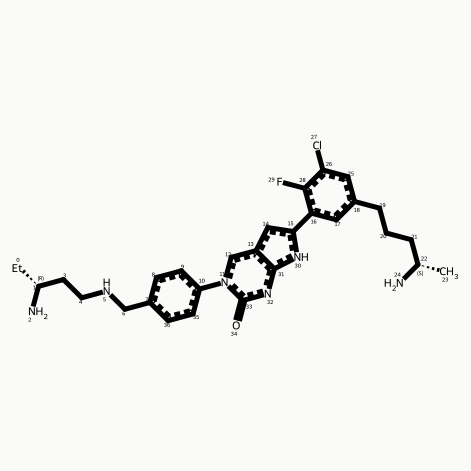 CC[C@@H](N)CCNCc1ccc(-n2cc3cc(-c4cc(CCC[C@H](C)N)cc(Cl)c4F)[nH]c3nc2=O)cc1